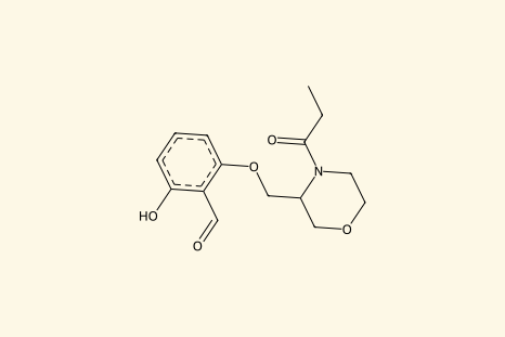 CCC(=O)N1CCOCC1COc1cccc(O)c1C=O